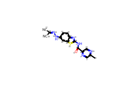 Cc1cnc(C(=O)Nc2nc3ccc(NN=C(C#N)C#N)cc3s2)cn1